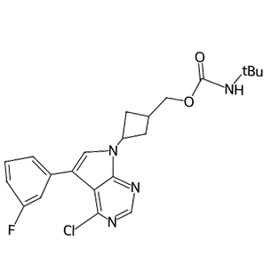 CC(C)(C)NC(=O)OCC1CC(n2cc(-c3cccc(F)c3)c3c(Cl)ncnc32)C1